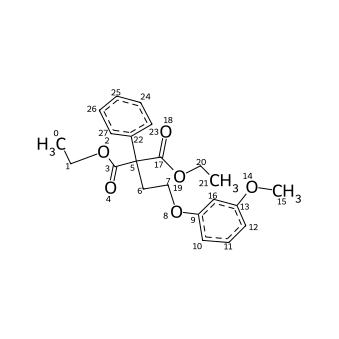 CCOC(=O)C(CCOc1cccc(OC)c1)(C(=O)OCC)c1ccccc1